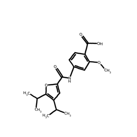 COc1cc(NC(=O)c2cc(C(C)C)c(C(C)C)o2)ccc1C(=O)O